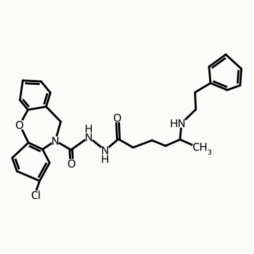 CC(CCCC(=O)NNC(=O)N1Cc2ccccc2Oc2ccc(Cl)cc21)NCCc1ccccc1